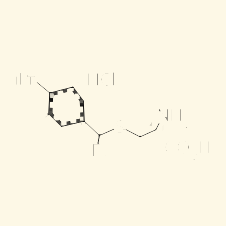 CCC(SC[C@H](N)C(=O)O)c1ccc(C(C)C)cc1.Cl